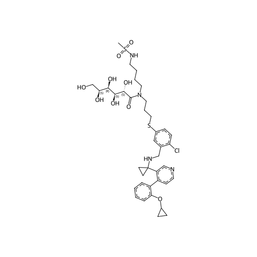 CS(=O)(=O)NCCCCN(CCCSc1ccc(Cl)c(CNC2(c3cnccc3-c3ccccc3OC3CC3)CC2)c1)C(=O)[C@@H](O)[C@@H](O)[C@H](O)[C@@H](O)CO